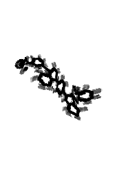 CP(C)(=O)c1cccc(-c2ccc(-c3ccc(-c4cc5ccccc5n5c4nc4ccccc45)cc3)c3ccccc23)c1